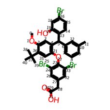 COc1cc(C(c2cccc(C)c2)c2ccc(Br)cc2O)c(Oc2c(Br)cc(CC(=O)O)cc2Br)cc1C(C)(C)C